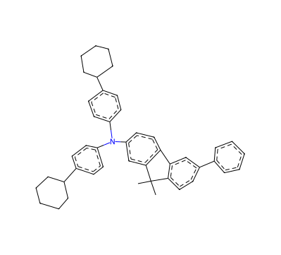 CC1(C)c2ccc(-c3ccccc3)cc2-c2ccc(N(c3ccc(C4CCCCC4)cc3)c3ccc(C4CCCCC4)cc3)cc21